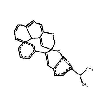 CN(C)c1ccc2c(c1)OC1(C=C3C(=CC=C4C=CC=CC43)OC1)C(c1ccccc1)=C2